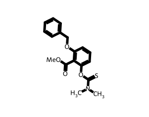 COC(=O)c1c(OCc2ccccc2)cccc1OC(=S)N(C)C